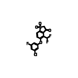 O=C1CS(=O)(=O)c2ccc(Oc3cc(F)cc(Cl)c3)c(C(F)F)c21